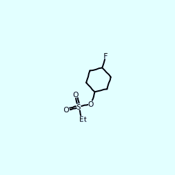 CCS(=O)(=O)OC1CCC(F)CC1